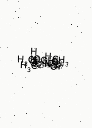 CNS(=O)(=O)c1cc(C(O)CNCCOc2ccccc2OC)ccc1C